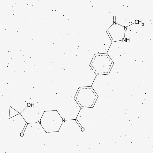 CN1NC=C(c2ccc(-c3ccc(C(=O)N4CCN(C(=O)C5(O)CC5)CC4)cc3)cc2)N1